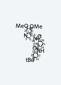 COc1cc2nccc(CN3CCc4c(C(=O)Nc5ccc(C(C)(C)C)cc5)cccc4C3=O)c2cc1OC